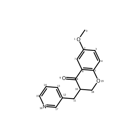 COc1ccc2c(c1)C(=O)C(Cc1cccnc1)CO2